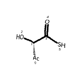 CC(=O)[C@H](O)C(=O)S